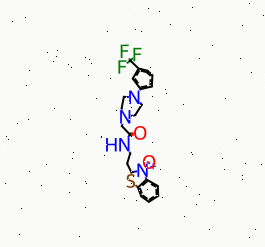 O=C(CN1CCN(c2cccc(C(F)(F)F)c2)CC1)NCCC1Sc2ccccc2[N+]1=O